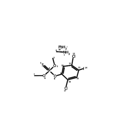 CN.COP(=S)(OC)Oc1cc(Cl)c(I)cc1Cl.[PbH2]